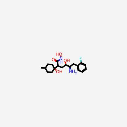 CC1CCC(O)(C(CC(O)C(N)Cc2ccccc2F)C(=O)NO)CC1